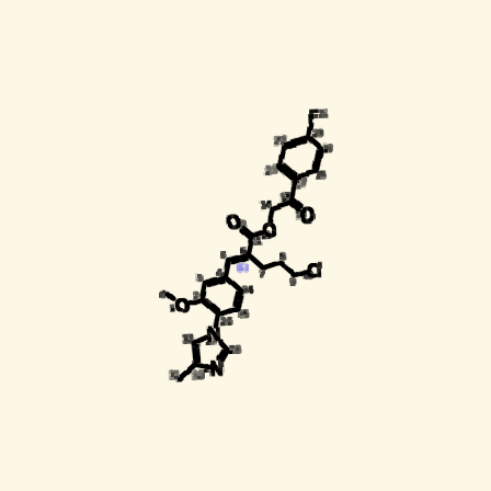 COc1cc(/C=C(\CCCCl)C(=O)OCC(=O)c2ccc(F)cc2)ccc1-n1cnc(C)c1